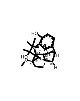 CO[C@]12CC[C@@]3(C[C@@H]1C(C)(O)C(C)(C)C)[C@H]1Cc4ccc(O)c5c4[C@@]3([C@@H](C)CN1)[C@H]2O5